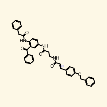 O=C(/C=C/c1ccc(OCc2ccccc2)cc1)NCCC(=O)Nc1ccc(NC(=O)Cc2ccccc2)c(C(=O)c2ccccc2)c1